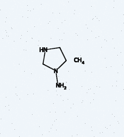 C.NN1CCNC1